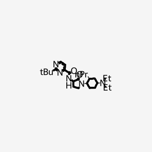 CCC[C@@H]1C[C@H](N(CC)CC)CC[C@@H]1N1CCC(NC(=O)c2ccnc(C(C)(C)C)n2)C1=O